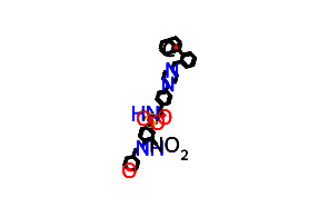 O=C(NS(=O)(=O)c1ccc(NCC2CCOCC2)c([N+](=O)[O-])c1)c1ccc(N2CCN(Cc3ccccc3C3CC4CC5CC(C4)CC3C5)CC2)cc1